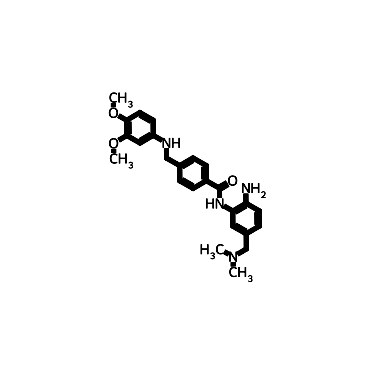 COc1ccc(NCc2ccc(C(=O)Nc3cc(CN(C)C)ccc3N)cc2)cc1OC